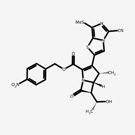 CSc1nc(C#N)n2cc(C3=C(C(=O)OCc4ccc([N+](=O)[O-])cc4)N4C(=O)[C@H]([C@@H](C)O)[C@H]4[C@H]3C)sc12